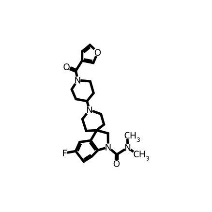 CN(C)C(=O)N1CC2(CCN(C3CCN(C(=O)c4ccoc4)CC3)CC2)c2cc(F)ccc21